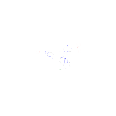 O=C(O)c1cnc(N2CCc3c(ncn3C3CCCCO3)C2c2cc3c(F)cccn3n2)cn1